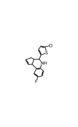 Fc1ccc2c(c1)C1C=CCC1C(c1ccc(Cl)s1)N2